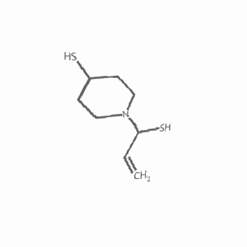 C=CC(S)N1CCC(S)CC1